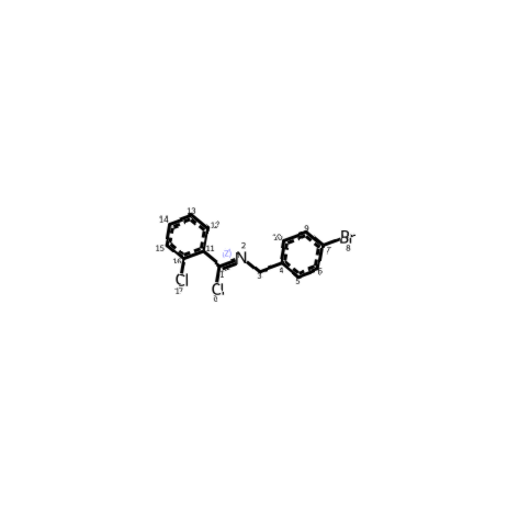 Cl/C(=N\Cc1ccc(Br)cc1)c1ccccc1Cl